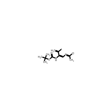 C=C(I)/C(=C\N=C(/C)Cl)NC(=O)OC(C)(C)C